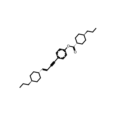 CCC[C@H]1CC[C@H](C=CC#Cc2ccc(OC(=O)[C@H]3CC[C@H](CCC)CC3)cc2)CC1